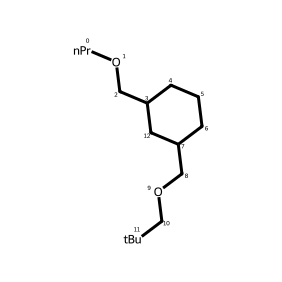 CCCOCC1CCCC(COCC(C)(C)C)C1